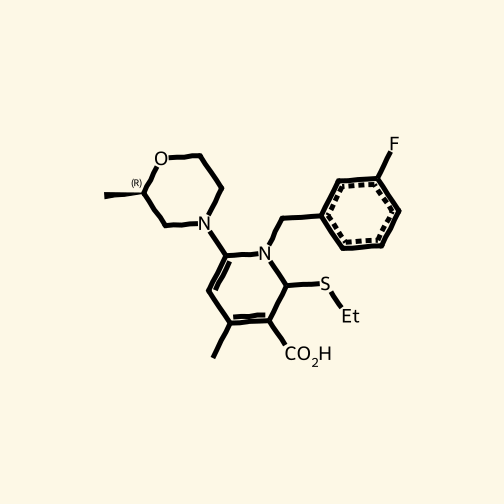 CCSC1C(C(=O)O)=C(C)C=C(N2CCO[C@H](C)C2)N1Cc1cccc(F)c1